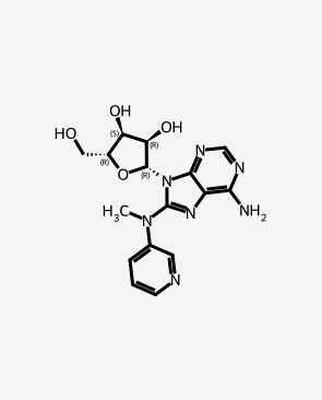 CN(c1cccnc1)c1nc2c(N)ncnc2n1[C@@H]1O[C@H](CO)[C@@H](O)[C@H]1O